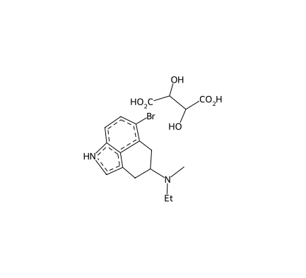 CCN(C)C1Cc2c[nH]c3ccc(Br)c(c23)C1.O=C(O)C(O)C(O)C(=O)O